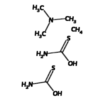 C.CN(C)C.NC(O)=S.NC(O)=S